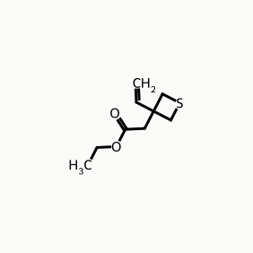 C=CC1(CC(=O)OCC)CSC1